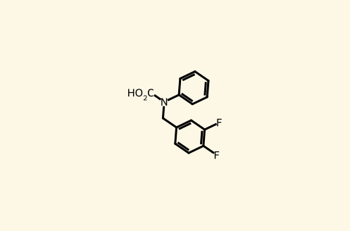 O=C(O)N(Cc1ccc(F)c(F)c1)c1ccccc1